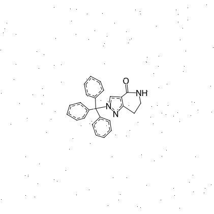 O=C1NCCc2nn(C(c3ccccc3)(c3ccccc3)c3ccccc3)cc21